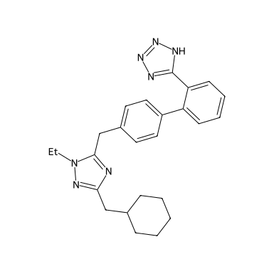 CCn1nc(CC2CCCCC2)nc1Cc1ccc(-c2ccccc2-c2nnn[nH]2)cc1